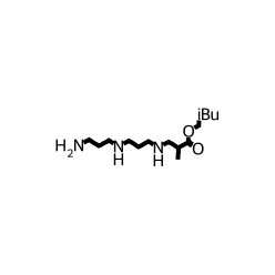 CCC(C)COC(=O)C(C)CNCCCNCCCN